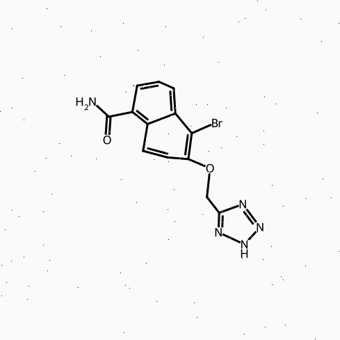 NC(=O)c1[c]ccc2c(Br)c(OCc3nn[nH]n3)ccc12